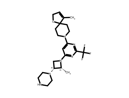 CC1=CCOC12CCN(c1cc(N3C[C@@H](N4CCNCC4)[C@H]3C)nc(C(F)(F)F)n1)CC2